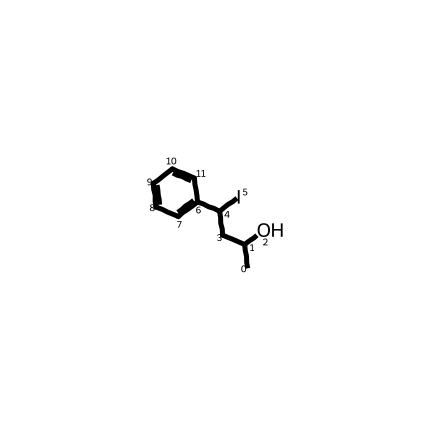 CC(O)CC(I)c1ccccc1